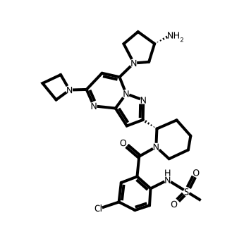 CS(=O)(=O)Nc1ccc(Cl)cc1C(=O)N1CCCC[C@H]1c1cc2nc(N3CCC3)cc(N3CC[C@H](N)C3)n2n1